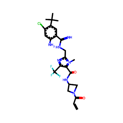 C=CC(=O)N1CC(NC(=O)c2c(C(F)(F)F)nc(CNC(=N)c3cc(C(C)(C)C)c(Cl)cc3N)n2C)C1